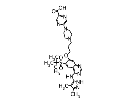 Cc1n[nH]c(Nc2ncnc3cc(OCCCN4CCN(c5cnc(C(=O)O)cn5)CC4)c(S(=O)(=O)C(C)(C)C)cc23)c1C